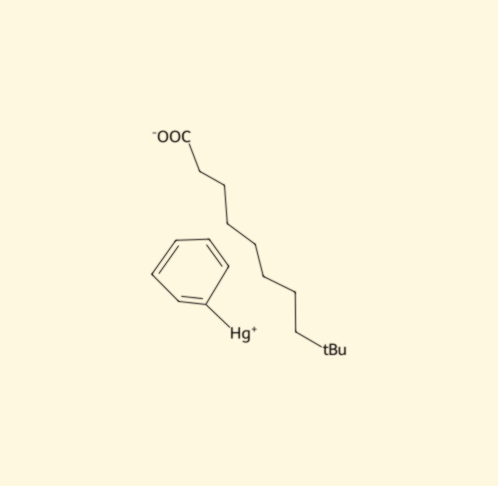 CC(C)(C)CCCCCCCC(=O)[O-].[Hg+][c]1ccccc1